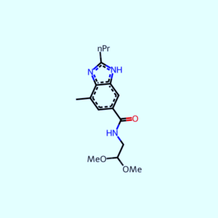 CCCc1nc2c(C)cc(C(=O)NCC(OC)OC)cc2[nH]1